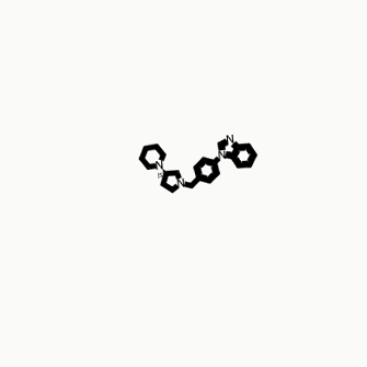 c1ccc2c(c1)ncn2-c1ccc(CN2CC[C@H](N3CCCCC3)C2)cc1